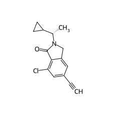 C#Cc1cc(Cl)c2c(c1)CN([C@@H](C)C1CC1)C2=O